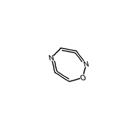 C1=CON=C=CN=1